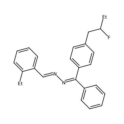 CCc1ccccc1C=NN=C(c1ccccc1)c1ccc(CC(F)CC)cc1